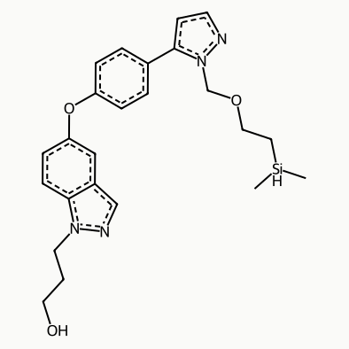 C[SiH](C)CCOCn1nccc1-c1ccc(Oc2ccc3c(cnn3CCCO)c2)cc1